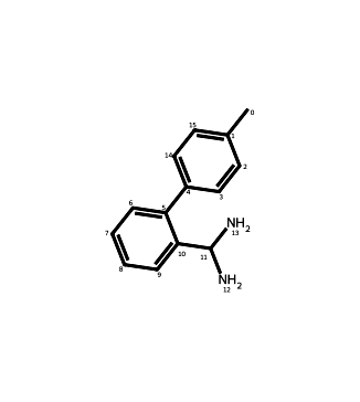 Cc1ccc(-c2ccccc2C(N)N)cc1